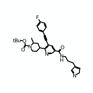 CC1CC(c2ncc(C(=O)NCCCC3=CCN=C3)cc2C#Cc2ccc(F)cc2)CCN1C(=O)OC(C)(C)C